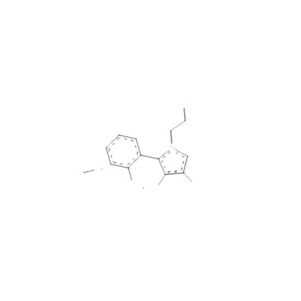 CCO.Cc1c(C(=O)O)cn(CCO)c1-c1ccccc1C(F)(F)F